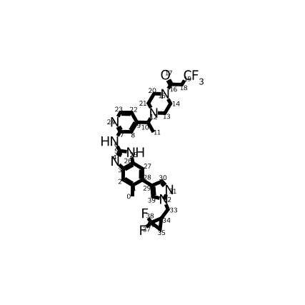 Cc1cc2nc(Nc3cc(C(C)N4CCN(C(=O)CC(F)(F)F)CC4)ccn3)[nH]c2cc1-c1cnn(CC2CC2(F)F)c1